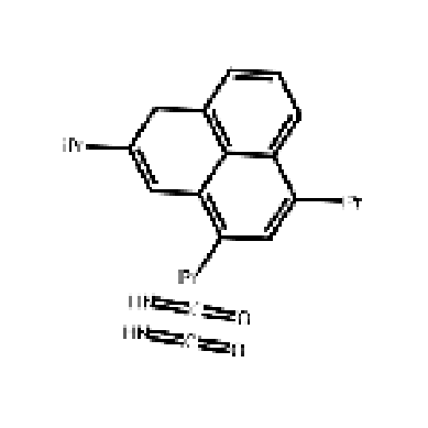 CC(C)C1=Cc2c(C(C)C)cc(C(C)C)c3cccc(c23)C1.N=C=O.N=C=O